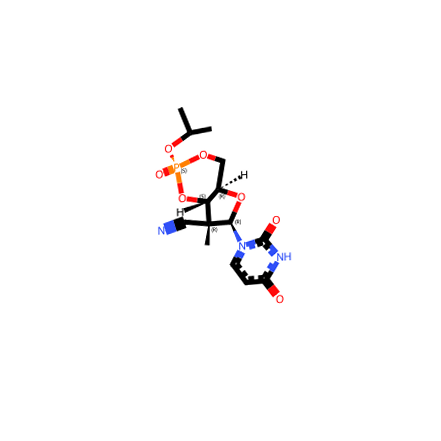 CC(C)O[P@]1(=O)OC[C@H]2O[C@@H](n3ccc(=O)[nH]c3=O)[C@](C)(C#N)[C@@H]2O1